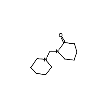 O=C1CCCCN1CN1CCCCC1